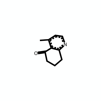 Cc1ccnc2c1C(=O)CCC2